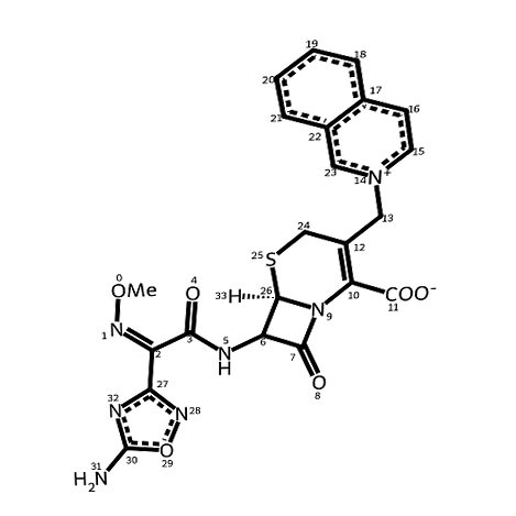 CO/N=C(\C(=O)NC1C(=O)N2C(C(=O)[O-])=C(C[n+]3ccc4ccccc4c3)CS[C@H]12)c1noc(N)n1